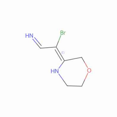 N=C/C(Br)=C1/COCCN1